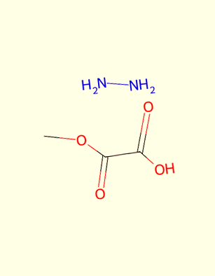 COC(=O)C(=O)O.NN